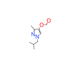 Cc1nn(CC(C)C)cc1OC=O